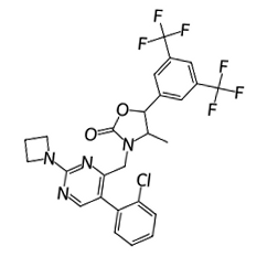 CC1C(c2cc(C(F)(F)F)cc(C(F)(F)F)c2)OC(=O)N1Cc1nc(N2CCC2)ncc1-c1ccccc1Cl